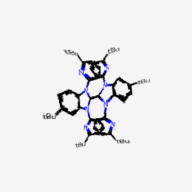 CC(C)(C)c1ccc2c(c1)N(c1cccc(C(C)(C)C)n1)C(C1N(c3cccc(C(C)(C)C)n3)c3ccc(C(C)(C)C)cc3N1c1cccc(C(C)(C)C)n1)N2c1cccc(C(C)(C)C)n1